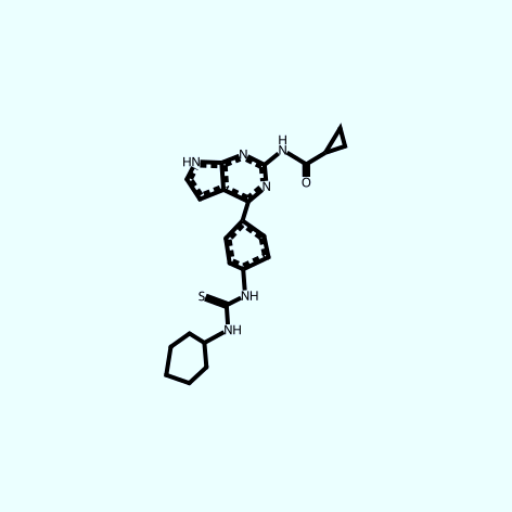 O=C(Nc1nc(-c2ccc(NC(=S)NC3CCCCC3)cc2)c2cc[nH]c2n1)C1CC1